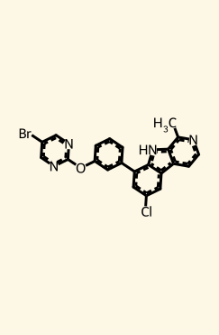 Cc1nccc2c1[nH]c1c(-c3cccc(Oc4ncc(Br)cn4)c3)cc(Cl)cc12